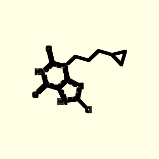 O=c1[nH]c(=O)n(CCCC2CC2)c2nc(Cl)[nH]c12